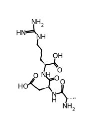 C[C@H](N)C(=O)N[C@@H](CC(=O)O)C(=O)N[C@@H](CCCNC(=N)N)C(=O)O